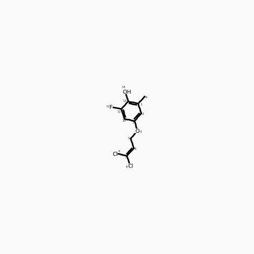 Cc1cc(OCC=C(Cl)Cl)cc(F)c1O